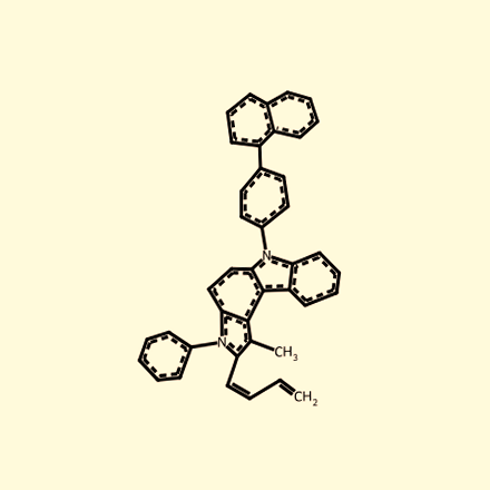 C=C/C=C\c1c(C)c2c3c4ccccc4n(-c4ccc(-c5cccc6ccccc56)cc4)c3ccc2n1-c1ccccc1